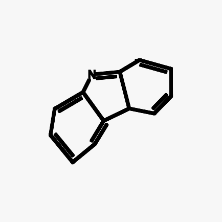 [C]1=CC=CC2C1=Nc1ccccc12